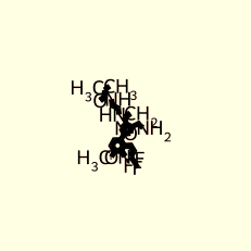 C=C(NCCNC(=O)C(C)C)c1nc(-c2ccc(OC)c3nc(C(F)(F)F)ccc23)oc1CN